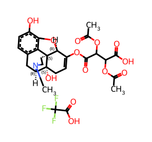 CC(=O)OC(C(=O)O)C(OC(C)=O)C(=O)OC1=CC[C@@]2(O)[C@H]3Cc4ccc(O)c5c4[C@@]2(CCN3C)[C@H]1O5.O=C(O)C(F)(F)F